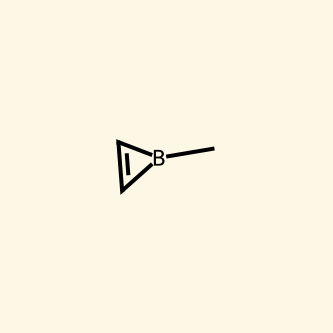 CB1C=C1